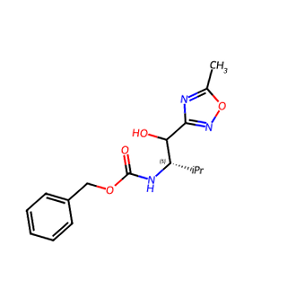 Cc1nc(C(O)[C@@H](NC(=O)OCc2ccccc2)C(C)C)no1